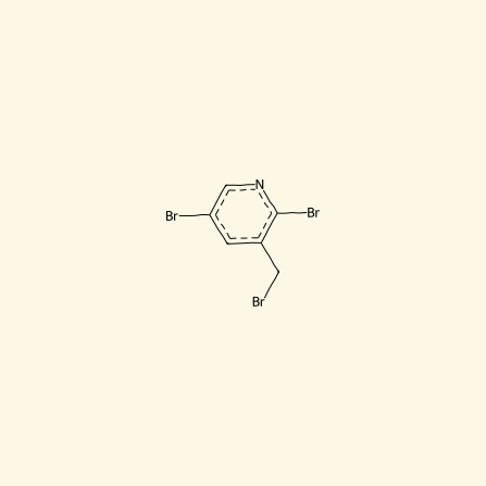 BrCc1cc(Br)cnc1Br